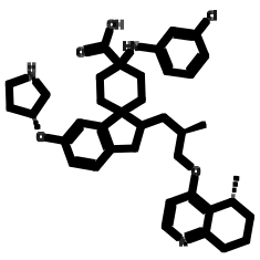 C[C@@H](COc1ccnc2c1[C@H](C)CCC2)CC1Cc2ccc(O[C@@H]3CCNC3)cc2C12CCC(Nc1cccc(Cl)c1)(C(=O)O)CC2